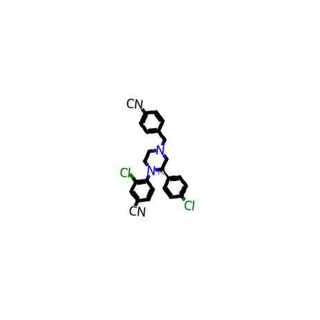 [C-]#[N+]c1ccc(CN2CCN(c3ccc(C#N)cc3Cl)[C@H](c3ccc(Cl)cc3)C2)cc1